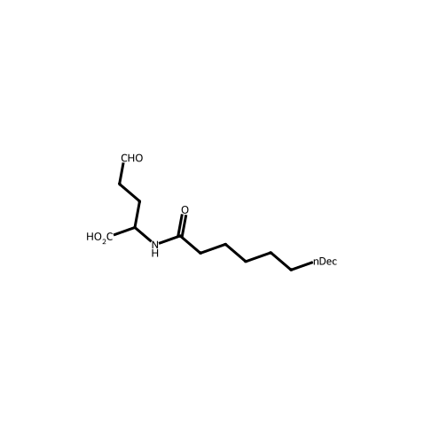 CCCCCCCCCCCCCCCC(=O)NC(CCC=O)C(=O)O